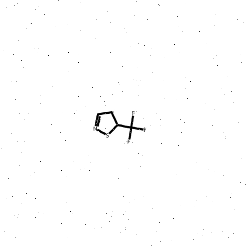 FC(F)(F)C1[C]C=NS1